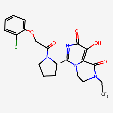 O=C1c2c(O)c(=O)nc([C@@H]3CCCN3C(=O)COc3ccccc3Cl)n2CCN1CC(F)(F)F